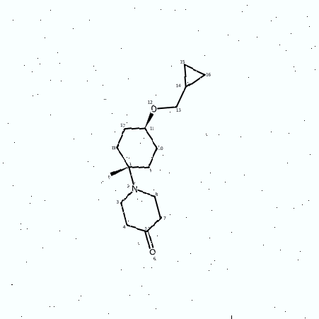 C[C@]1(N2CCC(=O)CC2)CC[C@H](OCC2CC2)CC1